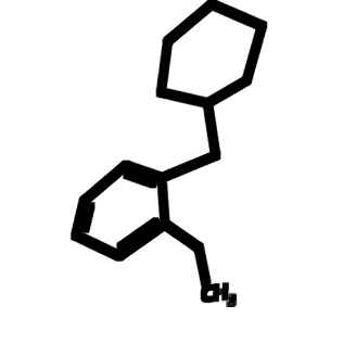 CCc1ccccc1CC1CCCCC1